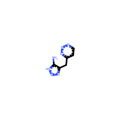 Nc1[nH]nnc1Cc1ccnnn1